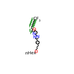 CCCCCCOCCCCc1ccc(-c2cnc(-c3ccc4c(n3)C(F)(F)C(CC(F)(F)C(F)(F)C(F)(F)C(F)(F)C(F)(F)C(F)(F)F)O4)nc2)cc1